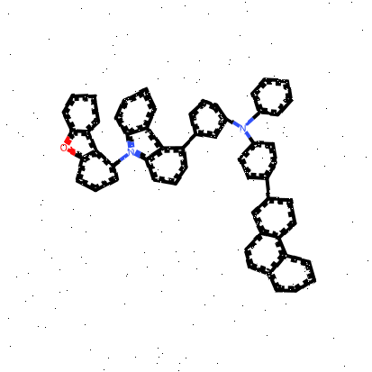 c1ccc(N(c2ccc(-c3ccc4c(ccc5ccccc54)c3)cc2)c2cccc(-c3cccc4c3c3ccccc3n4-c3cccc4oc5ccccc5c34)c2)cc1